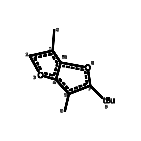 Cc1coc2c(C)c(C(C)(C)C)oc12